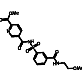 COCCNC(=O)c1cccc(S(=O)(=O)NC(=O)c2ccc(C(=O)OC)nc2)c1